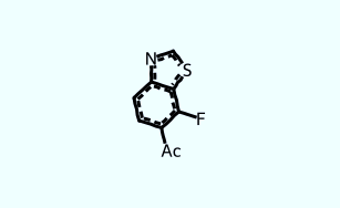 CC(=O)c1ccc2ncsc2c1F